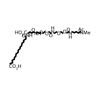 CN[C@@H](CCCCNC(=O)COCCOCCNC(=O)COCCOCCNC(=O)CC[C@H](NC(=O)CCCCCCCCCCCCCCCCC(=O)O)C(=O)O)C(C)=O